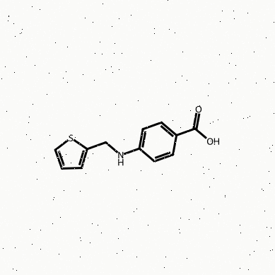 O=C(O)c1ccc(NCc2cccs2)cc1